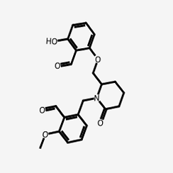 COc1cccc(CN2C(=O)CCCC2COc2cccc(O)c2C=O)c1C=O